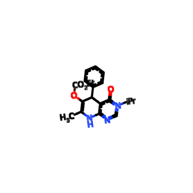 CCOC(=O)OC1=C(C)Nc2ncn(C(C)C)c(=O)c2C1c1ccccc1